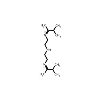 C/C(=N/CCNCC/N=C(/C)C(C)C)C(C)C